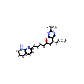 CNc1ncc([C@H](CC(=O)O)CC(=O)CCCCc2ccc3c(n2)NCCC3)cn1